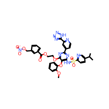 COc1ccccc1Oc1c(NS(=O)(=O)c2ccc(C(C)C)cn2)nc(-c2ccnc(-c3nnn[nH]3)c2)nc1OCCOC(=O)c1cccc(CO[N+](=O)[O-])c1